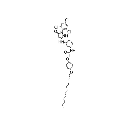 CCCCCCCCCCCCOc1ccc(OCC(=O)Nc2cccc(Nc3cc(=O)n(-c4c(Cl)cc(Cl)cc4Cl)[nH]3)c2)cc1